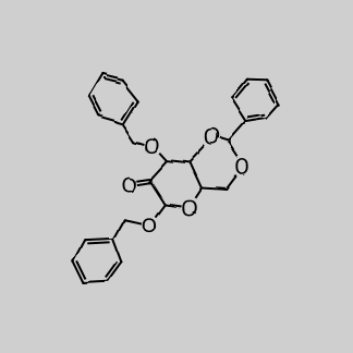 O=C1C(OCc2ccccc2)OC2COC(c3ccccc3)OC2C1OCc1ccccc1